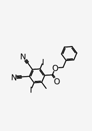 Cc1c(I)c(C#N)c(C#N)c(I)c1C(=O)OCc1ccccc1